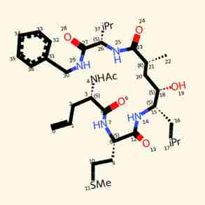 C=CC[C@H](NC(C)=O)C(=O)N[C@@H](CCSC)C(=O)N[C@@H](CC(C)C)[C@@H](O)C[C@@H](C)C(=O)N[C@H](C(=O)NCc1ccccc1)C(C)C